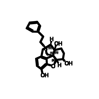 Oc1ccc2c3c1O[C@H]1C(O)CC[C@@]4(O)[C@@H](C2)N(CCc2ccccc2)CC[C@]314